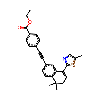 CCOC(=O)c1ccc(C#Cc2ccc3c(c2)C(c2ncc(C)s2)=CCC3(C)C)cc1